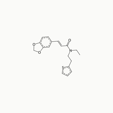 CCN(CCc1cccs1)C(=O)C=Cc1ccc2c(c1)OCO2